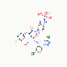 CN(CC(=O)N(CC=O)C(Cc1ccc(F)cc1)C(=O)Nc1ccc2nn(C(O)(O)O)cc2c1)c1cc(Cl)ccc1-n1cc(Cl)nn1